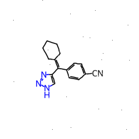 N#Cc1ccc(C(=C2CCCCC2)c2c[nH]nn2)cc1